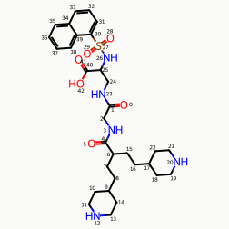 O=C(CNC(=O)C(CCC1CCNCC1)CCC1CCNCC1)NCC(NS(=O)(=O)c1cccc2ccccc12)C(=O)O